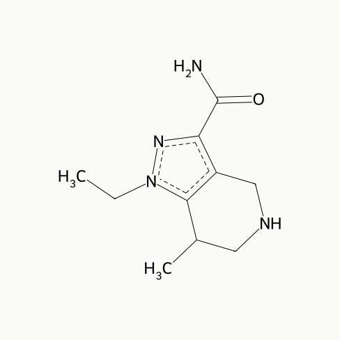 CCn1nc(C(N)=O)c2c1C(C)CNC2